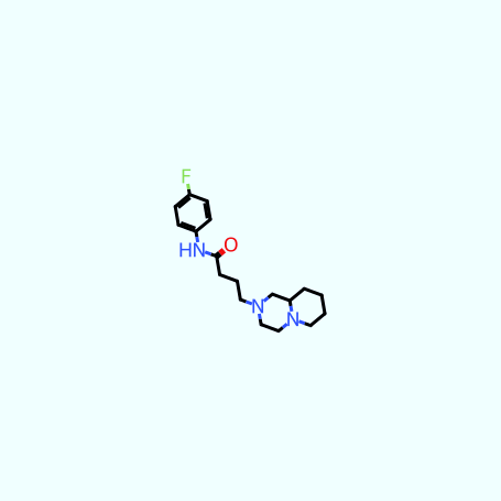 O=C(CCCN1CCN2CCCCC2C1)Nc1ccc(F)cc1